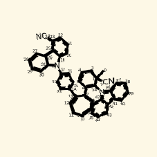 CC1(C#N)CC=CC(C2=CC=CCC=C2c2ccc(N3c4cccc(C#N)c4C4C=CC=CC43)cc2)=C1n1c2ccccc2c2ccccc21